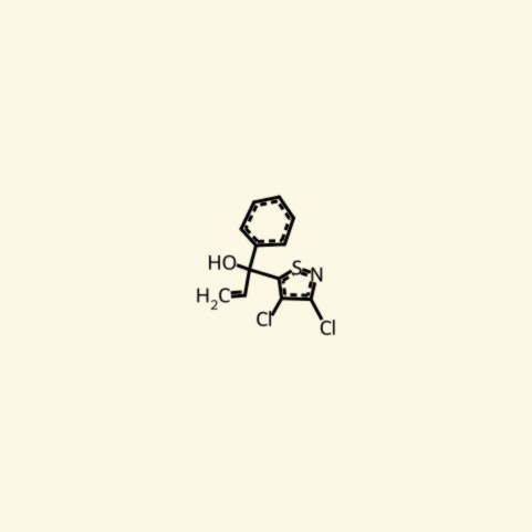 C=CC(O)(c1ccccc1)c1snc(Cl)c1Cl